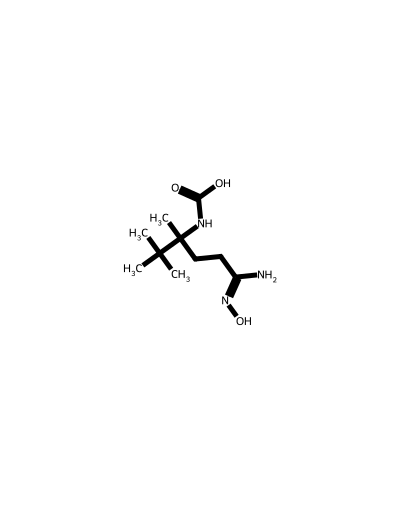 CC(C)(C)C(C)(CCC(N)=NO)NC(=O)O